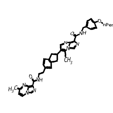 CCCCCOc1ccc(CNC(=O)c2ncn3c(C)c(C4Cc5ccc(CCNC(=O)c6ncn7ccc(C)nc67)cc5C4)cnc23)cc1